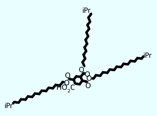 CC(C)CCCCCCCCCCCCCCCOC(=O)C1CC(C(=O)OCCCCCCCCCCCCCCCC(C)C)C(C(=O)OCCCCCCCCCCCCCCCC(C)C)CC1C(=O)O